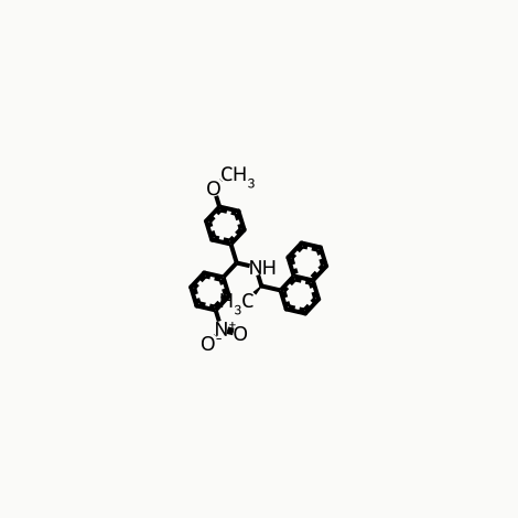 COc1ccc(C(N[C@H](C)c2cccc3ccccc23)c2cccc([N+](=O)[O-])c2)cc1